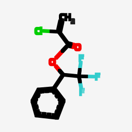 C=C(Cl)C(=O)OC(c1ccccc1)C(F)(F)F